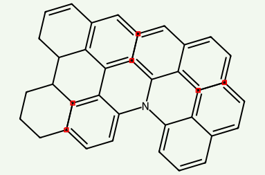 C1=Cc2cccc(-c3ccccc3N(c3cccc4ccccc34)c3cccc4ccccc34)c2C(C2CCCCC2)C1